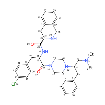 CCN(CC)CC(Cc1ccccc1)N1CCN(C(=O)[C@@H](Cc2ccc(Cl)cc2)NC(=O)[C@H]2Cc3ccccc3CN2)CC1